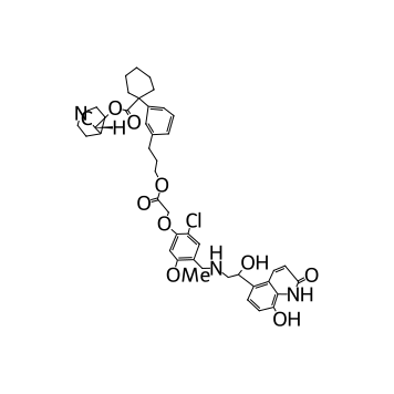 COc1cc(OCC(=O)OCCCc2cccc(C3(C(=O)O[C@H]4CN5CCC4CC5)CCCCC3)c2)c(Cl)cc1CNCC(O)c1ccc(O)c2[nH]c(=O)ccc12